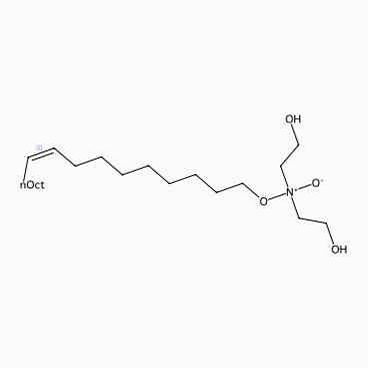 CCCCCCCC/C=C\CCCCCCCCO[N+]([O-])(CCO)CCO